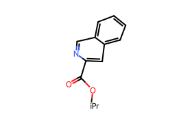 CC(C)OC(=O)c1cc2ccccc2cn1